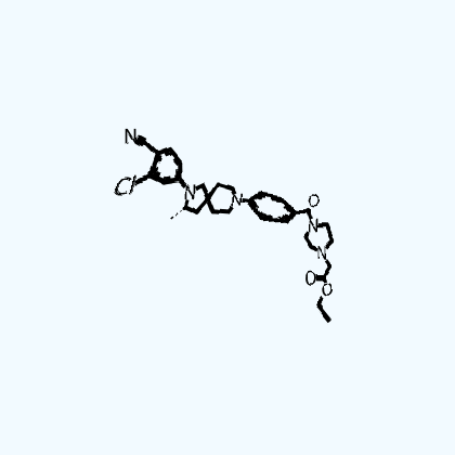 CCOC(=O)CN1CCN(C(=O)c2ccc(N3CCC4(CC3)C[C@H](C)N(c3ccc(C#N)c(Cl)c3)C4)cc2)CC1